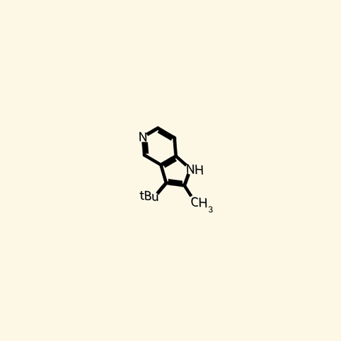 Cc1[nH]c2ccncc2c1C(C)(C)C